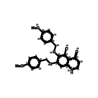 COc1ccc(COc2cc3[nH]ccc(=O)c3c(Cl)c2OCc2ccc(OC)cc2)cc1